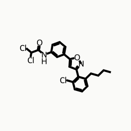 CCCCc1cccc(Cl)c1-c1cc(-c2cccc(NC(=O)C(Cl)Cl)c2)on1